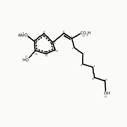 COc1cc(C=C(CCCCCCO)C(=O)O)ccc1O